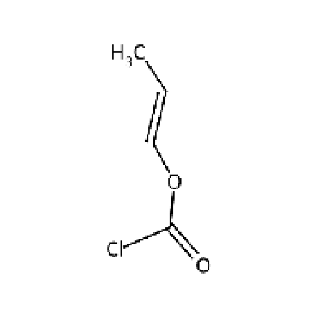 CC=COC(=O)Cl